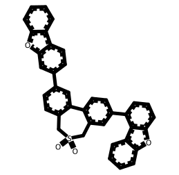 O=S1(=O)Cc2cc(-c3cccc4oc5ccccc5c34)ccc2-c2cc(-c3ccc4c(c3)oc3ccccc34)ccc2C1